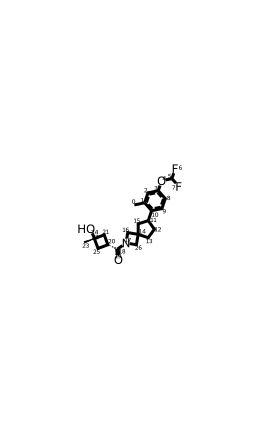 Cc1cc(OC(F)F)ccc1C1CCC2(C1)CN(C(=O)[C@H]1C[C@@](C)(O)C1)C2